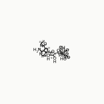 C[C@@]1(O)[C@H](O)C(COP(=O)(O)OP(=O)(O)OP(=O)(O)O)O[C@H]1n1cc(-c2ncco2)c2c(N)ncnc21